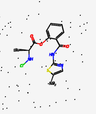 CC(C)(C)[C@H](NCl)C(=O)Oc1ccccc1C(=O)Nc1ncc([N+](=O)[O-])s1